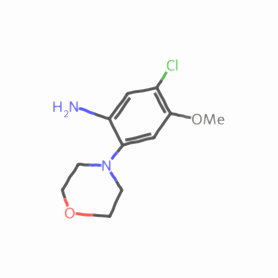 COc1cc(N2CCOCC2)c(N)cc1Cl